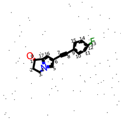 O=C1CCn2cc(C#Cc3ccc(F)cc3)cc21